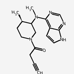 C#CCC(=O)N1CC[C@@H](C)C(N(C)c2ncnc3[nH]ccc23)C1